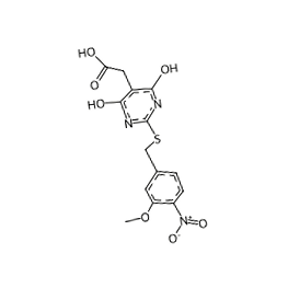 COc1cc(CSc2nc(O)c(CC(=O)O)c(O)n2)ccc1[N+](=O)[O-]